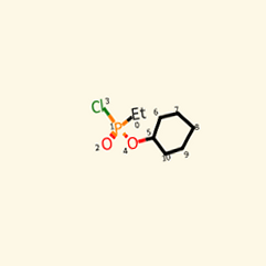 CCP(=O)(Cl)OC1CCCCC1